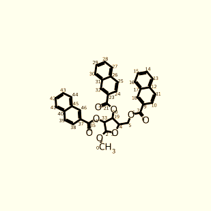 COC1OC(COC(=O)c2ccc3ccccc3c2)C(OC(=O)c2ccc3ccccc3c2)C1OC(=O)c1ccc2ccccc2c1